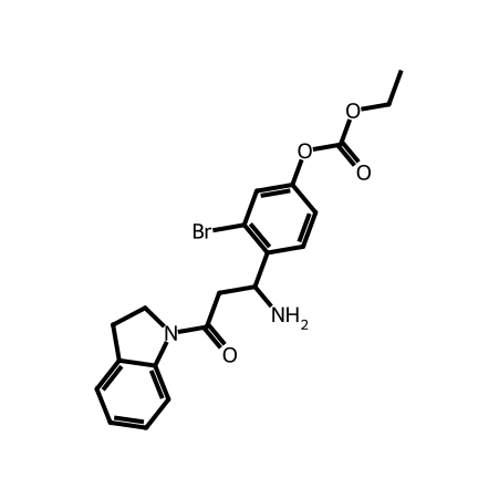 CCOC(=O)Oc1ccc(C(N)CC(=O)N2CCc3ccccc32)c(Br)c1